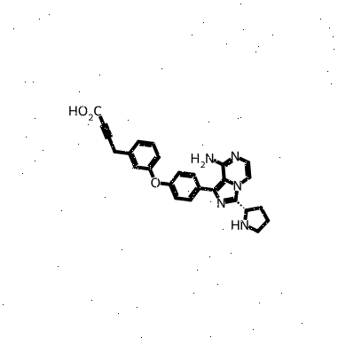 Nc1nccn2c([C@@H]3CCCN3)nc(-c3ccc(Oc4cccc(CC#CC(=O)O)c4)cc3)c12